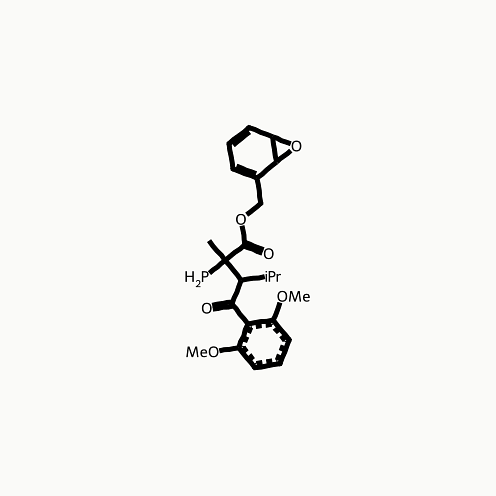 COc1cccc(OC)c1C(=O)C(C(C)C)C(C)(P)C(=O)OCC1=CC=CC2OC12